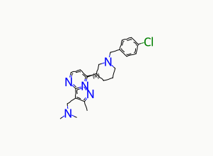 Cc1nn2c([C@@H]3CCCN(Cc4ccc(Cl)cc4)C3)ccnc2c1CN(C)C